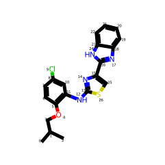 CC(C)COc1ccc(Cl)cc1Nc1nc(-c2nc3ccccc3[nH]2)cs1